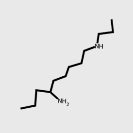 CCCNCCCCCC(N)CCC